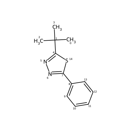 CC(C)(C)c1nnc(-c2ccccc2)s1